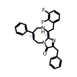 O=C1C(Cc2ccccc2)=N/C2=C(\Cc3cccc(F)c3F)NC/C(c3ccccc3)=C\CN12